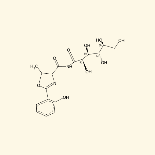 CC1OC(c2ccccc2O)=NC1C(=O)NC(=O)[C@H](O)[C@@H](O)[C@@H](O)[C@@H](O)CO